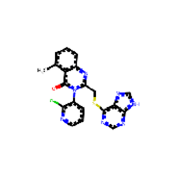 Cc1cccc2nc(CSc3ncnc4[nH]cnc34)n(-c3cccnc3Cl)c(=O)c12